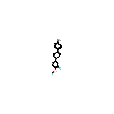 CCCc1ccc(C2CCC(c3ccc(OCF)c(F)c3)CC2)cc1